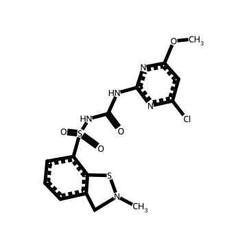 COc1cc(Cl)nc(NC(=O)NS(=O)(=O)c2cccc3c2SN(C)C3)n1